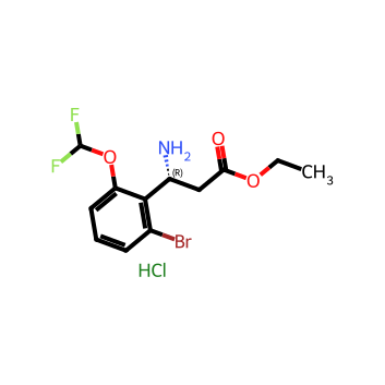 CCOC(=O)C[C@@H](N)c1c(Br)cccc1OC(F)F.Cl